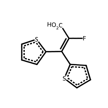 O=C(O)C(F)=C(c1cccs1)c1cccs1